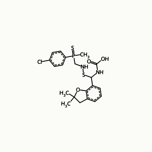 CC1(C)Cc2cccc(C(NC(=O)O)SNCP(C)(=S)c3ccc(Cl)cc3)c2O1